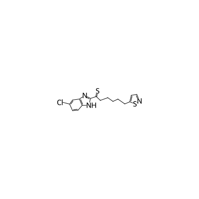 S=C(CCCCCc1ccns1)c1nc2cc(Cl)ccc2[nH]1